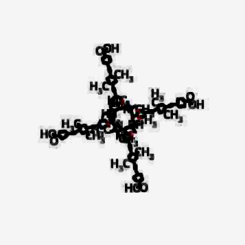 CCC1=C(CC)c2nc1c(-c1ccc(C#Cc3cc(C)c(C#Cc4ccc(C(=O)O)cc4)cc3C)cc1)c1[nH]c(c(CC)c1CC)c(-c1ccc(C#Cc3cc(C)c(C#Cc4ccc(C(=O)O)cc4)cc3C)cc1)c1nc(c(-c3ccc(C#Cc4cc(C)c(C#Cc5ccc(C(=O)O)cc5)cc4C)cc3)c3[nH]c(c(CC)c3CC)c2-c2ccc(C#Cc3cc(C)c(C#Cc4ccc(C(=O)O)cc4)cc3C)cc2)C(CC)=C1CC